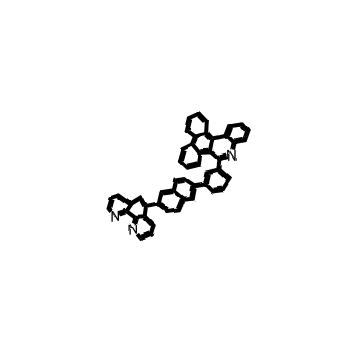 c1cc(-c2ccc3cc(-c4cc5cccnc5c5ncccc45)ccc3c2)cc(-c2nc3ccccc3c3c4ccccc4c4ccccc4c23)c1